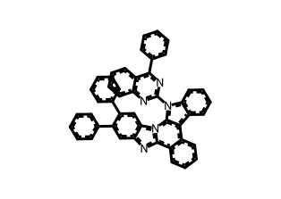 c1ccc(-c2cc3nc4c5ccccc5c5c6ccccc6n(-c6nc(-c7ccccc7)c7ccccc7n6)c5n4c3cc2-c2ccccc2)cc1